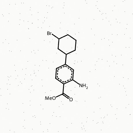 COC(=O)c1ccc(C2CCCC(Br)C2)cc1N